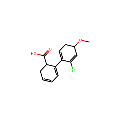 COC1C=C(Cl)C(C2=CC=CCC2C(=O)O)=CC1